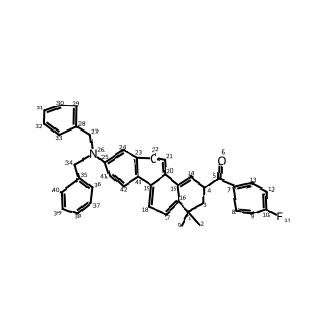 CC1(C)CC(C(=O)c2ccc(F)cc2)C=c2c1ccc1c2=CCc2cc(N(Cc3ccccc3)Cc3ccccc3)ccc2-1